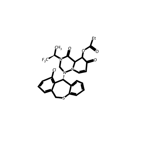 CCC(=O)OC1C(=O)C=CN2C1C(=O)N([C@H](C)C(F)(F)F)CN2[C@@H]1c2ccccc2SCc2cccc(Cl)c21